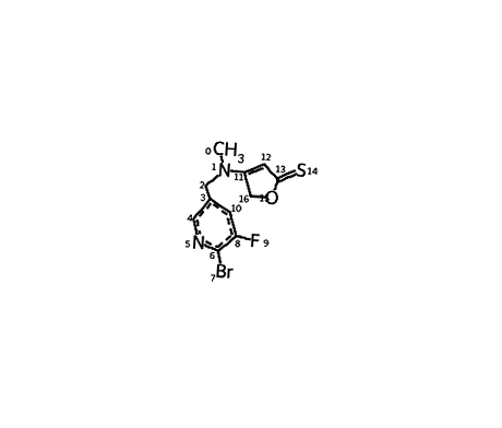 CN(Cc1cnc(Br)c(F)c1)C1=CC(=S)OC1